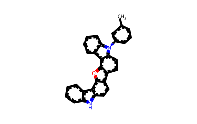 Cc1cccc(-n2c3ccccc3c3c4oc5c(ccc6[nH]c7ccccc7c65)c4ccc32)c1